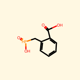 O=C(O)c1ccccc1C[PH](=O)O